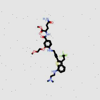 COCCOc1cc(C(=O)NC(CCC(N)=O)C(=O)OC)ccc1NCC#Cc1sc2c(NCCN(C)C)cccc2c1CC(F)(F)F